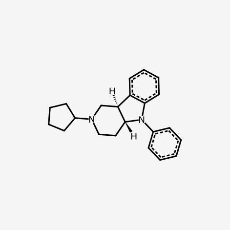 c1ccc(N2c3ccccc3[C@@H]3CN(C4CCCC4)CC[C@H]32)cc1